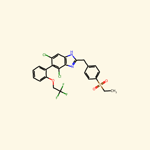 CCS(=O)(=O)c1ccc(Cc2nc3c(Cl)c(-c4ccccc4OCC(F)(F)F)c(Cl)cc3[nH]2)cc1